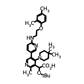 Cc1ccc(OCCNc2ccc(-c3cnc(C)c(C(OC(C)(C)C)C(=O)O)c3N3CCC(C)(C)CC3)cn2)c(C)c1